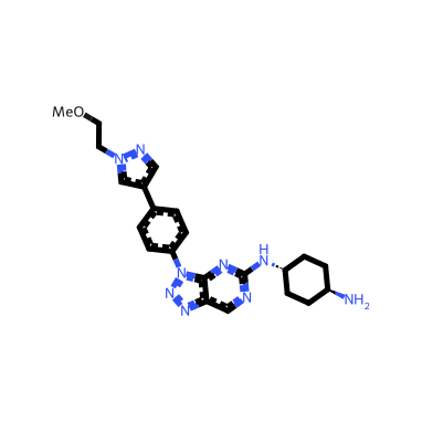 COCCn1cc(-c2ccc(-n3nnc4cnc(N[C@H]5CC[C@H](N)CC5)nc43)cc2)cn1